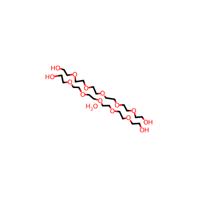 O.OCCOCCOCCOCCOCCOCCO.OCCOCCOCCOCCOCCOCCO